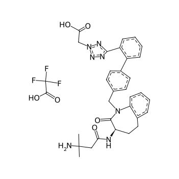 CC(C)(N)CC(=O)N[C@@H]1CCc2ccccc2N(Cc2ccc(-c3ccccc3-c3nnn(CC(=O)O)n3)cc2)C1=O.O=C(O)C(F)(F)F